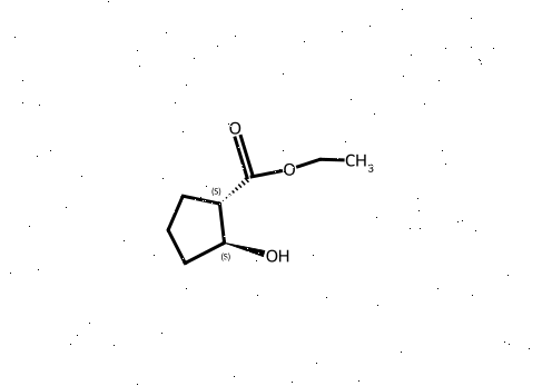 CCOC(=O)[C@H]1CCC[C@@H]1O